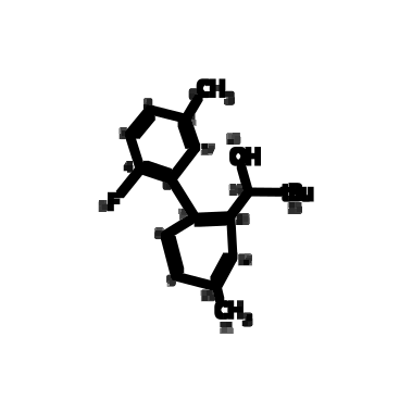 Cc1ccc(F)c(-c2ccc(C)cc2C(O)C(C)(C)C)c1